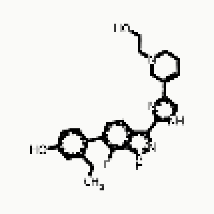 CCc1cc(O)ccc1-c1ccc2c(-c3nc(C4=CCCN(CCO)C4)c[nH]3)n[nH]c2c1F